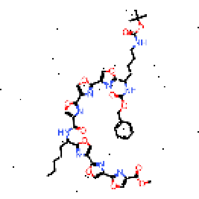 CCCCCC(NC(=O)c1coc(-c2coc(-c3coc(C(CCCCNC(=O)OC(C)(C)C)NC(=O)OCc4ccccc4)n3)n2)n1)c1nc(-c2nc(-c3nc(C(=O)OC)co3)co2)co1